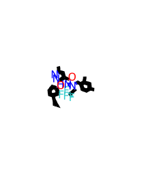 Cc1ccc(CN(CC(F)(F)F)NC(=O)c2cc(C)nnc2Oc2cccc(C3CC3)c2F)c(C)c1